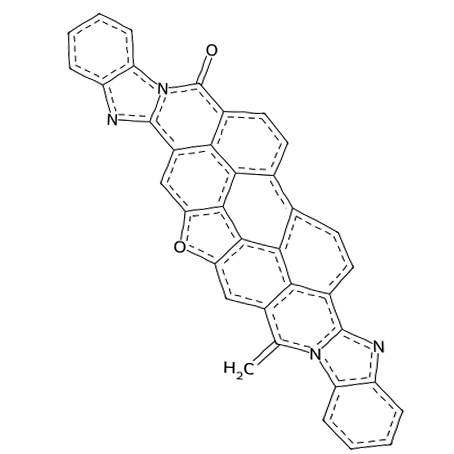 C=c1c2cc3oc4cc5c6c(ccc7c8ccc(c2c8c3c4c76)c2nc3ccccc3n12)c(=O)n1c2ccccc2nc51